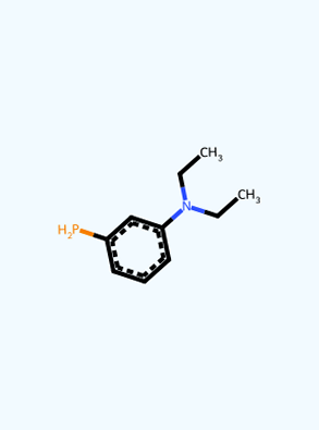 CCN(CC)c1cccc(P)c1